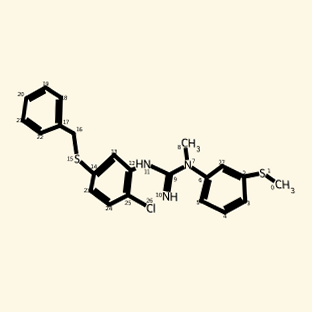 CSc1cccc(N(C)C(=N)Nc2cc(SCc3ccccc3)ccc2Cl)c1